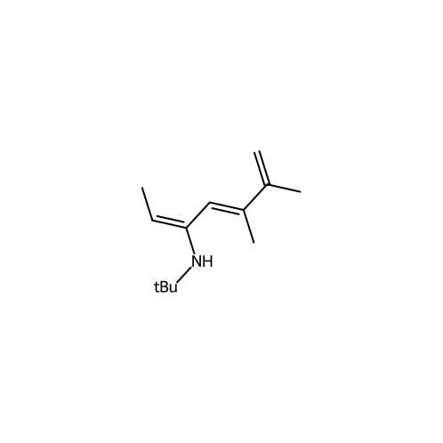 C=C(C)/C(C)=C/C(=C\C)NC(C)(C)C